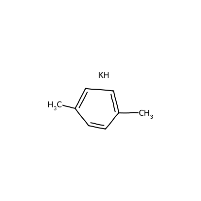 Cc1ccc(C)cc1.[KH]